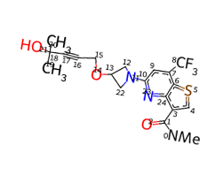 CNC(=O)c1csc2c(C(F)(F)F)cc(N3CC(OCC#CC(C)(C)O)C3)nc12